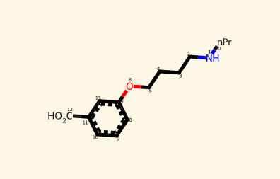 CCCNCCCCOc1cccc(C(=O)O)c1